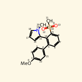 COc1ccc(-c2cccc(S(C)(=O)=O)c2-c2cccn2C)cc1